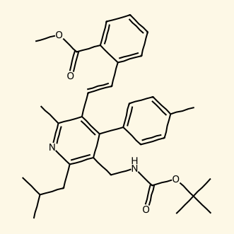 COC(=O)c1ccccc1C=Cc1c(C)nc(CC(C)C)c(CNC(=O)OC(C)(C)C)c1-c1ccc(C)cc1